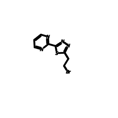 BrCCc1nnc(-c2ncccn2)s1